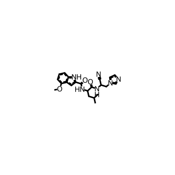 COc1cccc2[nH]c(C(=O)NC(CC(C)C)C(=O)NC(C#N)Cn3ccnc3)cc12